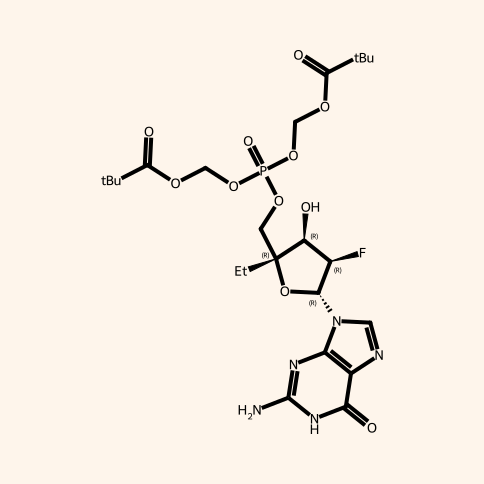 CC[C@]1(COP(=O)(OCOC(=O)C(C)(C)C)OCOC(=O)C(C)(C)C)O[C@@H](n2cnc3c(=O)[nH]c(N)nc32)[C@H](F)[C@@H]1O